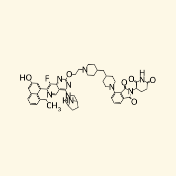 CCc1cccc2cc(O)cc(-c3ncc4c(N5CC6CCC(C5)N6)nc(OCCN5CCC(CC6CCN(c7cccc8c7C(=O)N(C7CCC(=O)NC7=O)C8=O)CC6)CC5)nc4c3F)c12